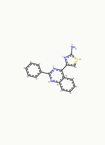 Nc1nc(-c2nc(-c3ccccc3)nc3ccccc23)cs1